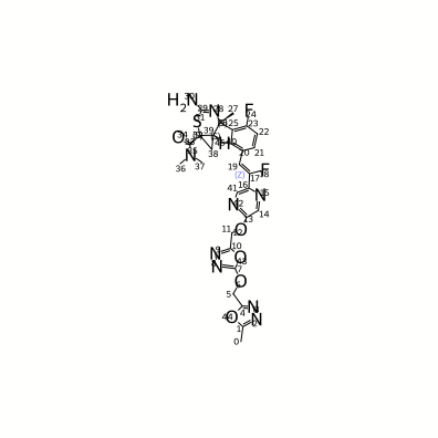 Cc1nnc(COc2nnc(COc3cnc(/C(F)=C/c4ccc(F)c([C@@]5(C)N=C(N)S[C@@]6(C(=O)N(C)C)C[C@H]65)c4)cn3)o2)o1